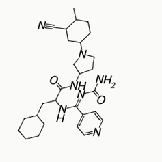 CC1CCC(N2CCC(NC(=O)C(CC3CCCCC3)NC(=NC(N)=O)c3ccncc3)C2)CC1C#N